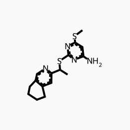 CSc1cc(N)nc(SC(C)c2cc3c(cn2)CCCC3)n1